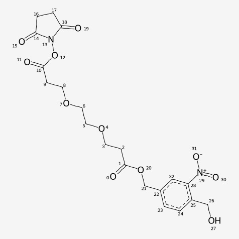 O=C(CCOCCOCCC(=O)ON1C(=O)CCC1=O)OCc1ccc(CO)c([N+](=O)[O-])c1